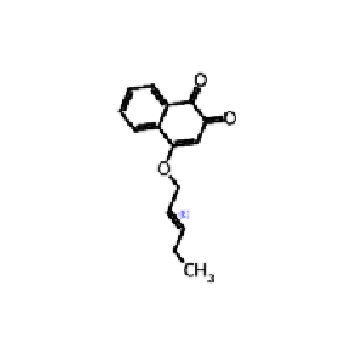 CC/C=C/COC1=CC(=O)C(=O)c2ccccc21